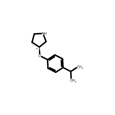 CC(C)c1ccc(O[C@H]2CCNC2)cc1